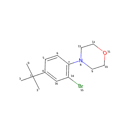 CC(C)(C)c1ccc(N2CCOCC2)c(Br)c1